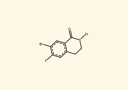 CCN1CCc2cc(F)c(Br)cc2C1=O